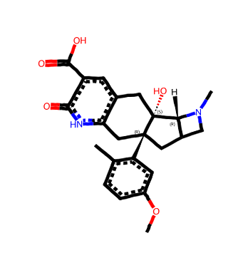 COc1ccc(C)c([C@@]23Cc4[nH]c(=O)c(C(=O)O)cc4C[C@@]2(O)[C@H]2C(CN2C)C3)c1